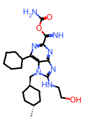 C[C@H]1CC[C@H](Cn2c(NCCO)nc3nc(C(=N)OC(N)=O)nc(C4CCCCC4)c32)CC1